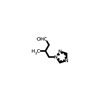 CC(C[C]=O)Cn1cncn1